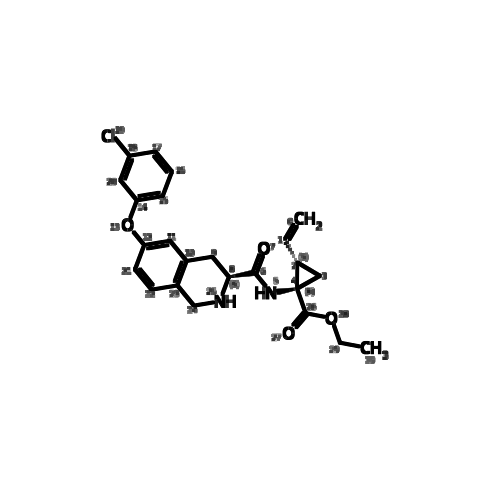 C=C[C@@H]1C[C@]1(NC(=O)[C@@H]1Cc2cc(Oc3cccc(Cl)c3)ccc2CN1)C(=O)OCC